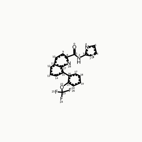 O=C(Nc1nccs1)c1ccc2cccc(-c3ccccc3OC(F)(F)F)c2n1